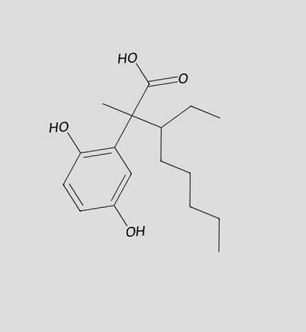 CCCCCC(CC)C(C)(C(=O)O)c1cc(O)ccc1O